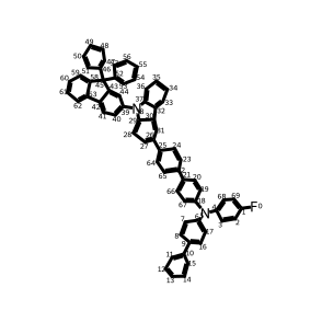 Fc1ccc(N(c2ccc(-c3ccccc3)cc2)c2ccc(-c3ccc(-c4ccc5c(c4)c4ccccc4n5-c4ccc5c(c4)C(c4ccccc4)(c4ccccc4)c4ccccc4-5)cc3)cc2)cc1